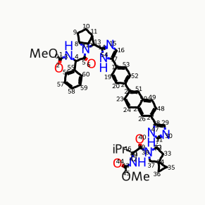 COC(=O)NC(C(=O)N1C2CCC(C2)C1c1ncc(-c2ccc(-c3ccc4cc(-c5cnc([C@@H]6CC7(CC7)CN6C(=O)[C@@H](NC(=O)OC)C(C)C)[nH]5)ccc4c3)cc2)[nH]1)c1ccccc1